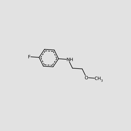 COCCNc1ccc(F)cc1